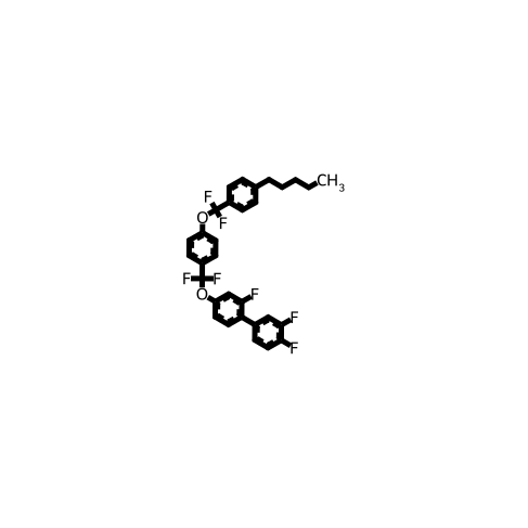 CCCCCc1ccc(C(F)(F)Oc2ccc(C(F)(F)Oc3ccc(-c4ccc(F)c(F)c4)c(F)c3)cc2)cc1